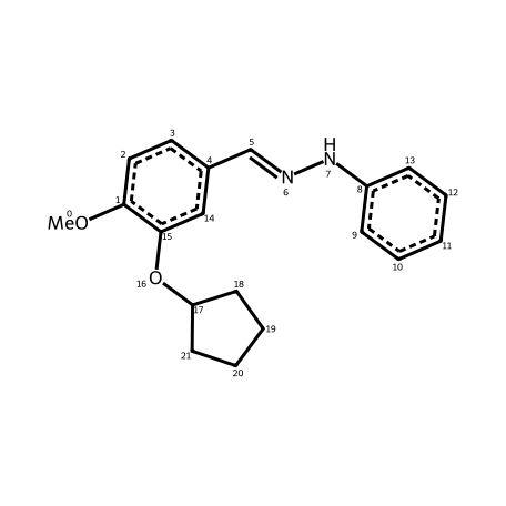 COc1ccc(/C=N/Nc2ccccc2)cc1OC1CCCC1